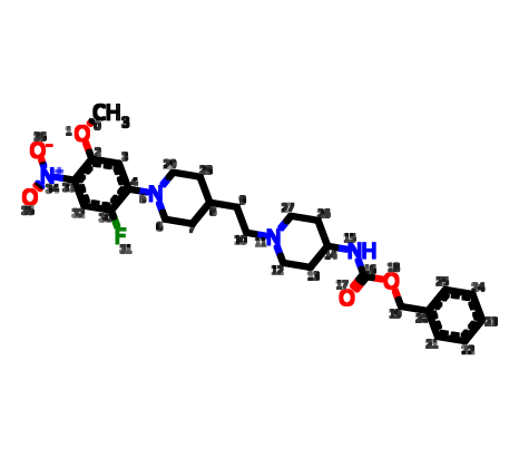 COc1cc(N2CCC(CCN3CCC(NC(=O)OCc4ccccc4)CC3)CC2)c(F)cc1[N+](=O)[O-]